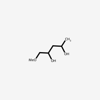 COCC(O)CC(C)O